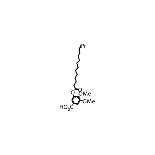 COc1cc(C(=O)O)cc(OC(=O)CCCCCCCCCCCC(C)C)c1OC